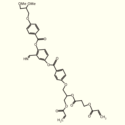 C=CC(=O)OCCC(=O)OC(COC(=O)C=C)COc1ccc(C(=O)Oc2ccc(OC(=O)c3ccc(OCC(COC)OC)cc3)c(C=N)c2)cc1